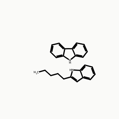 CCCCCc1cc2ccccc2[nH]1.c1ccc2c(c1)[nH]c1ccccc12